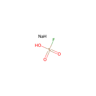 O=S(=O)(O)F.[NaH]